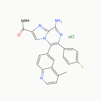 CNC(=O)c1cn2c(-c3ccc4nccc(C)c4c3)c(-c3ccc(F)cc3)nc(N)c2n1.Cl